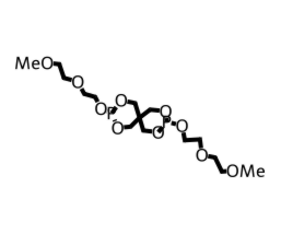 COCCOCCOP1OCC2(CO1)COP(OCCOCCOC)OC2